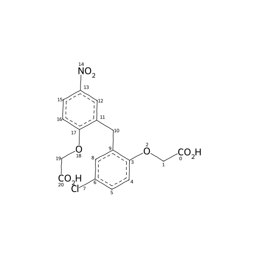 O=C(O)COc1ccc(Cl)cc1Cc1cc([N+](=O)[O-])ccc1OCC(=O)O